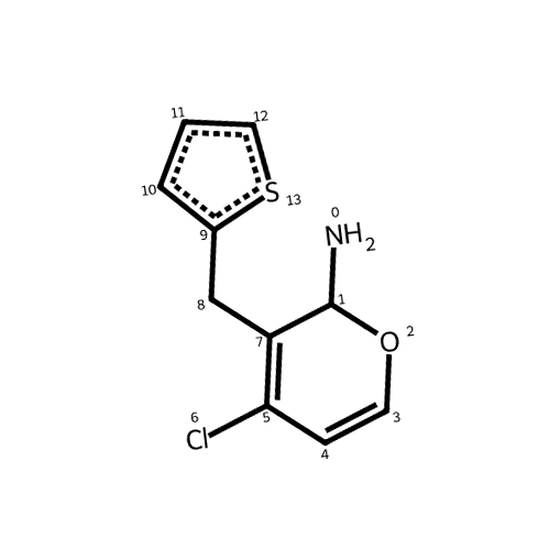 NC1OC=CC(Cl)=C1Cc1cccs1